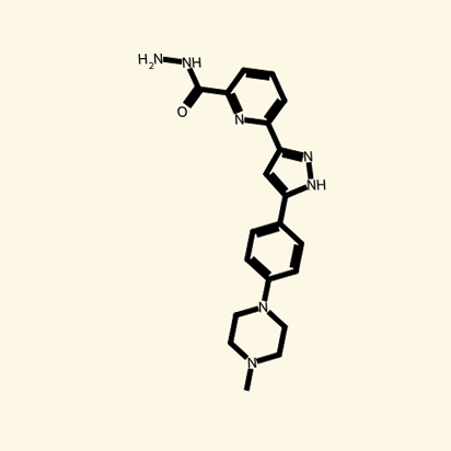 CN1CCN(c2ccc(-c3cc(-c4cccc(C(=O)NN)n4)n[nH]3)cc2)CC1